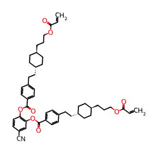 C=CC(=O)OCCC[C@H]1CC[C@H](CCc2ccc(C(=O)Oc3ccc(C#N)cc3OC(=O)c3ccc(CC[C@H]4CC[C@H](CCCOC(=O)C=C)CC4)cc3)cc2)CC1